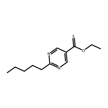 CCCCCc1ncc(C(=S)OCC)cn1